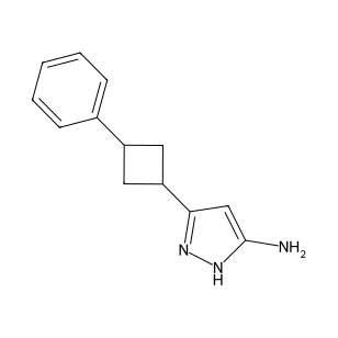 Nc1cc(C2CC(c3ccccc3)C2)n[nH]1